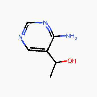 CC(O)c1cncnc1N